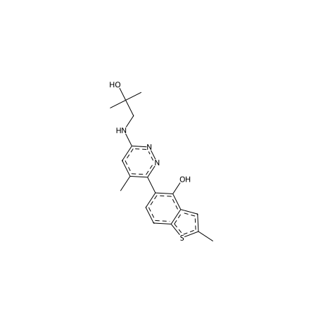 Cc1cc2c(O)c(-c3nnc(NCC(C)(C)O)cc3C)ccc2s1